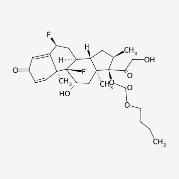 CCCCOC(=O)O[C@]1(C(=O)CO)[C@H](C)C[C@H]2[C@@H]3C[C@H](F)C4=CC(=O)C=C[C@]4(C)[C@@]3(F)[C@@H](O)C[C@@]21C